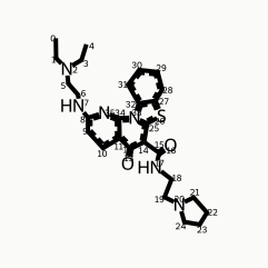 CCN(CC)CCNc1ccc2c(=O)c(C(=O)NCCN3CCCC3)c3sc4ccccc4n3c2n1